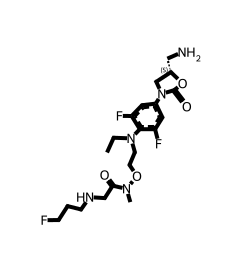 CCN(CCON(C)C(=O)CNCCCF)c1c(F)cc(N2C[C@H](CN)OC2=O)cc1F